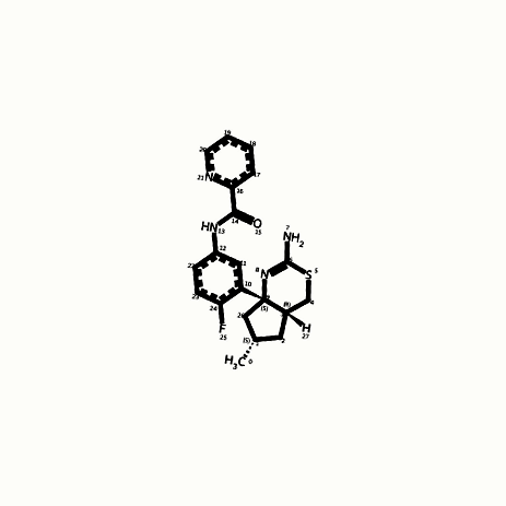 C[C@H]1C[C@H]2CSC(N)=N[C@@]2(c2cc(NC(=O)c3ccccn3)ccc2F)C1